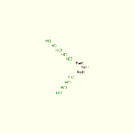 Cl.Cl.Cl.Cl.Cl.Cl.Cl.Cl.Cl.[NaH].[NaH].[NaH]